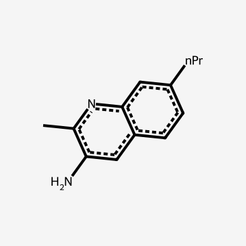 CCCc1ccc2cc(N)c(C)nc2c1